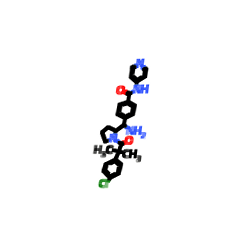 CC(C)(C(=O)N1CCCC1C(N)c1ccc(C(=O)Nc2ccncc2)cc1)c1ccc(Cl)cc1